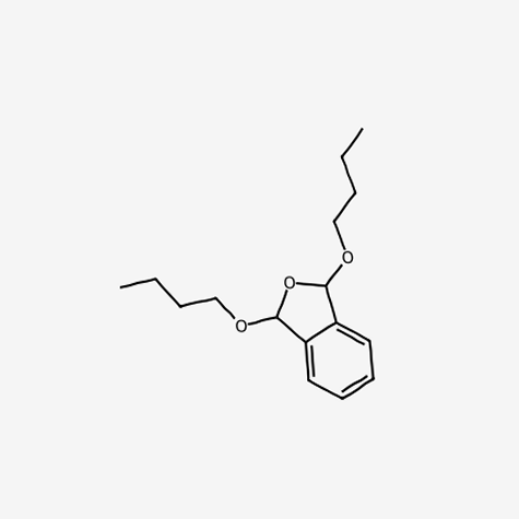 CCCCOC1OC(OCCCC)c2ccccc21